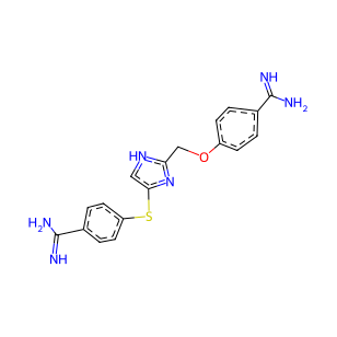 N=C(N)c1ccc(OCc2nc(Sc3ccc(C(=N)N)cc3)c[nH]2)cc1